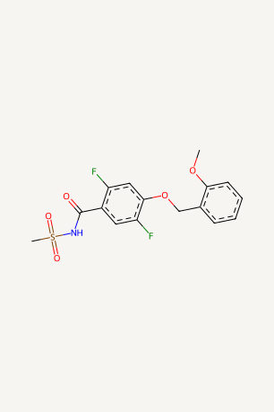 COc1ccccc1COc1cc(F)c(C(=O)NS(C)(=O)=O)cc1F